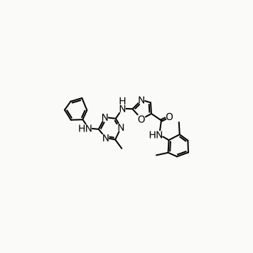 Cc1nc(Nc2ccccc2)nc(Nc2ncc(C(=O)Nc3c(C)cccc3C)o2)n1